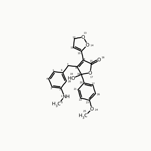 CNc1cccc(CC2=C(C3=CCOO3)C(=O)OC2(O)c2ccc(OC)cc2)c1